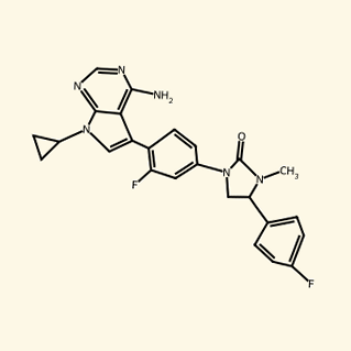 CN1C(=O)N(c2ccc(-c3cn(C4CC4)c4ncnc(N)c34)c(F)c2)CC1c1ccc(F)cc1